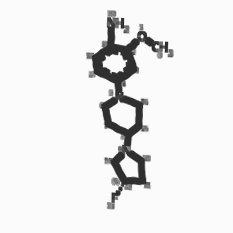 COc1cc(N2CCC(N3CC[C@H](F)C3)CC2)ccc1N